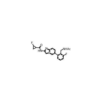 CC(=O)NCc1c(F)cccc1-c1ccc2nc(NC(=O)C3CC3F)cn2c1